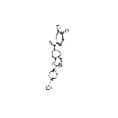 O=C(c1ccc(Cl)c(Cl)c1)N1CCc2cnc(N3CCN(C4CCC4)CC3)nc2CC1